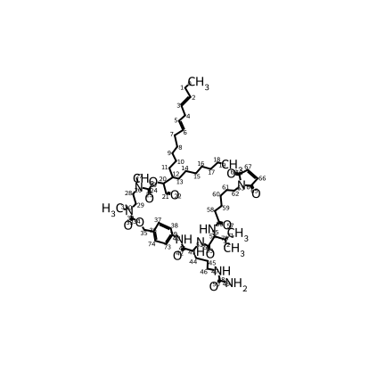 CCC=CCC=CCCCCCC(CCCCCCC)C(C=O)OC(=O)N(C)CCN(C)C(=O)OCc1ccc(NC(=O)[C@H](CCCNC(N)=O)NC(=O)[C@@H](NC(=O)CCCCCN2C(=O)C=CC2=O)C(C)C)cc1